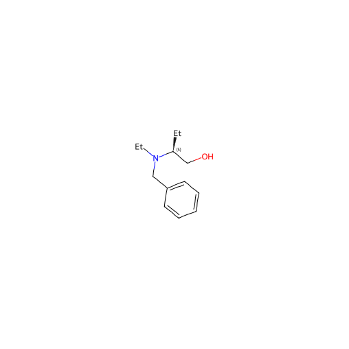 CC[C@@H](CO)N(CC)Cc1ccccc1